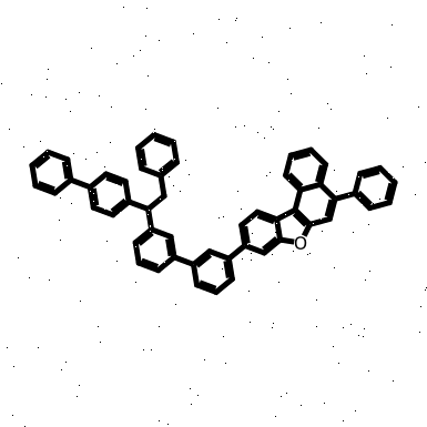 c1ccc(CC(c2ccc(-c3ccccc3)cc2)c2cccc(-c3cccc(-c4ccc5c(c4)oc4cc(-c6ccccc6)c6ccccc6c45)c3)c2)cc1